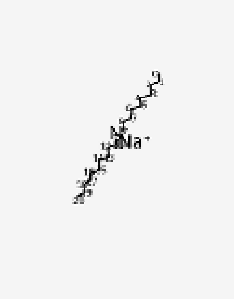 CCCCCCCCCC[N-]CCCCCCCCCC.[Na+]